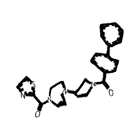 O=C(c1ccc(-c2ccccc2)cc1)N1CC(N2CCN(C(=O)c3nccs3)CC2)C1